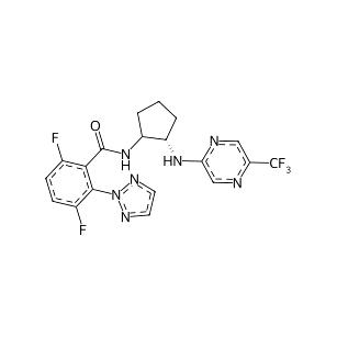 O=C(NC1CCC[C@@H]1Nc1cnc(C(F)(F)F)cn1)c1c(F)ccc(F)c1-n1nccn1